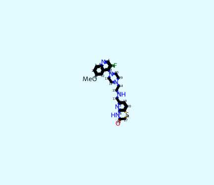 COc1ccc2ncc(F)c(N3CCN(CCNCc4ccc5c(n4)NC(=O)CS5)CC3)c2c1